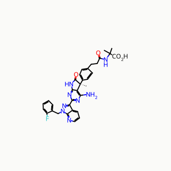 CC(C)(NC(=O)CCc1ccc([C@]2(C)C(=O)Nc3nc(-c4nn(Cc5ccccc5F)c5ncccc45)nc(N)c32)cc1)C(=O)O